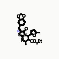 CCOC(=O)C1C(C)N=c2s/c(=C/c3ccc4c(c3)OCO4)c(=O)n2C1c1ccc(C)o1